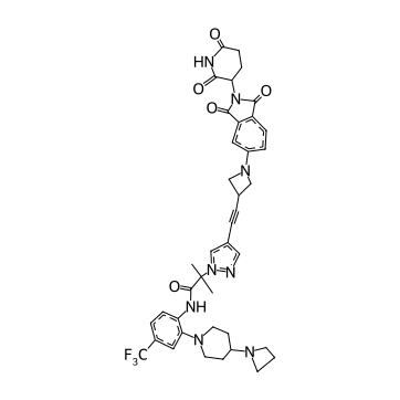 CC(C)(C(=O)Nc1ccc(C(F)(F)F)cc1N1CCC(N2CCC2)CC1)n1cc(C#CC2CN(c3ccc4c(c3)C(=O)N(C3CCC(=O)NC3=O)C4=O)C2)cn1